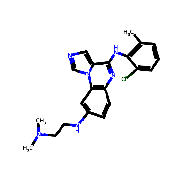 Cc1cccc(Cl)c1Nc1nc2ccc(NCCN(C)C)cc2n2cncc12